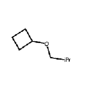 CC(C)COC1CCC1